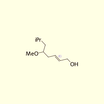 COC(C/C=C/CO)CC(C)C